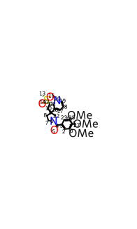 COc1cc(C(=O)N2CCC(CCS(C)(=O)=O)(c3cccnc3)C2)cc(OC)c1OC